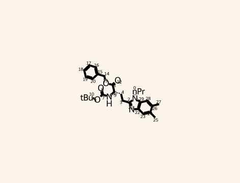 CCCn1c(CC[C@H](NC(=O)OC(C)(C)C)C(=O)OCc2ccccc2)nc2cc(C)c(C)cc21